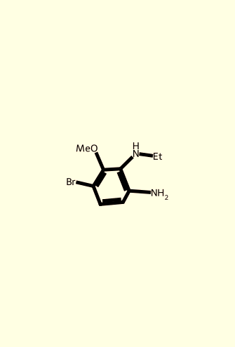 CCNc1c(N)ccc(Br)c1OC